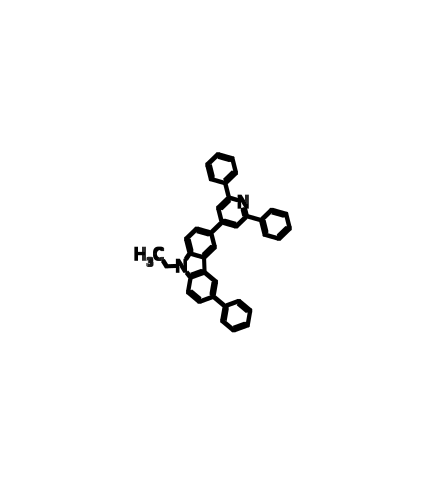 CCn1c2ccc(-c3ccccc3)cc2c2cc(-c3cc(-c4ccccc4)nc(-c4ccccc4)c3)ccc21